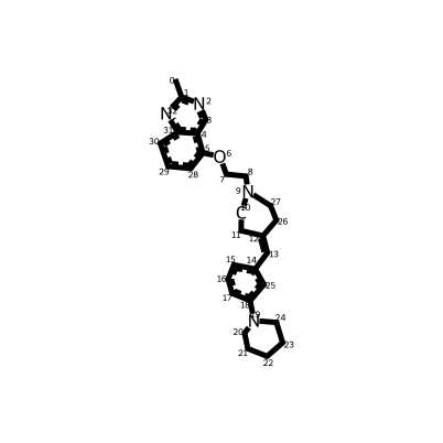 Cc1ncc2c(OCCN3CCC(=Cc4cccc(N5CCCCC5)c4)CC3)cccc2n1